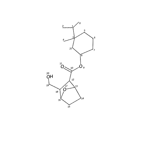 CC(C)C1(C)CCCC(OC(=O)C2C3CCC(O3)C2CO)C1